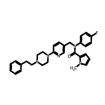 Cn1cccc1C(=O)N(Cc1ccc(N2CCN(CCc3ccccc3)CC2)nc1)c1ccc(F)cc1